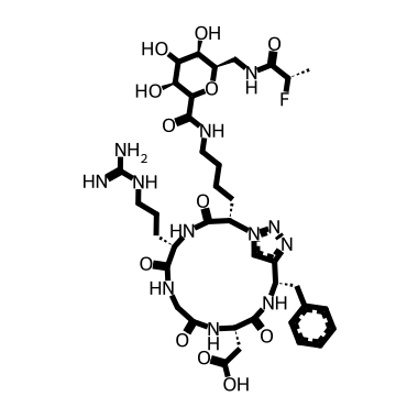 C[C@H](F)C(=O)NC[C@H]1OC(C(=O)NCCCC[C@H]2C(=O)N[C@@H](CCCNC(=N)N)C(=O)NCC(=O)N[C@@H](CC(=O)O)C(=O)N[C@@H](Cc3ccccc3)c3cn2nn3)[C@@H](O)C(O)[C@H]1O